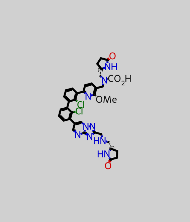 COc1nc(-c2cccc(-c3cccc(-c4cnc5nc(CNC[C@@H]6CCC(=O)N6)nn5c4)c3Cl)c2Cl)ccc1CN(C[C@@H]1CCC(=O)N1)C(=O)O